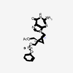 CC(=O)OC[C@]1(CO[PH](=O)Oc2ccccc2)C/C1=C/n1cnc2c(=O)[nH]c(N)nc21